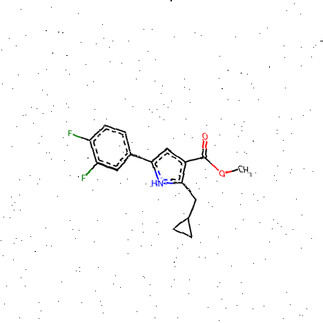 COC(=O)c1cc(-c2ccc(F)c(F)c2)[nH]c1CC1CC1